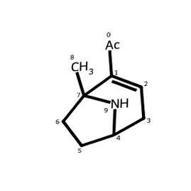 CC(=O)C1=CCC2CCC1(C)N2